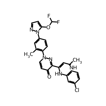 CC(=N)/C=C(\Nc1cccc(Cl)c1)c1nn(-c2ccc(-n3nccc3OC(F)F)cc2C)ccc1=O